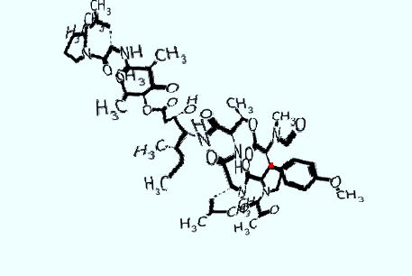 CC[C@H](C)[C@@H](NC(=O)[C@@H](NC(=O)[C@@H](CC(C)C)N(C)C(=O)C1CCCN1C(=O)C(C)=O)[C@@H](C)OC(=O)[C@H](Cc1ccc(OC)cc1)N(C)C=O)[C@@H](O)CC(=O)O[C@H](C(=O)[C@H](C)C(=O)N[C@@H](CC(C)C)C(=O)N1CCCC1C)C(C)C